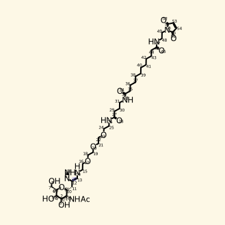 CC(=O)N[C@@H]1[C@@H](O)[C@@H](O)[C@@H](CO)O[C@@H]1C/C(=C/NCCOCCOCCOCCNC(=O)CCCNC(=O)CCCCCCCCCCC(=O)NCCN1C(=O)C=CC1=O)N=N